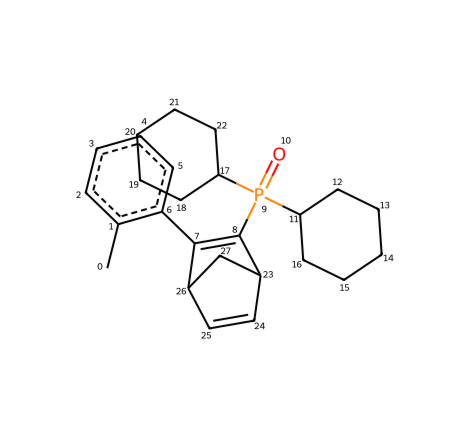 Cc1ccccc1C1=C(P(=O)(C2CCCCC2)C2CCCCC2)C2C=CC1C2